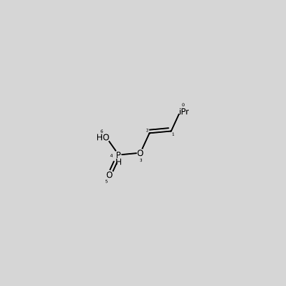 CC(C)C=CO[PH](=O)O